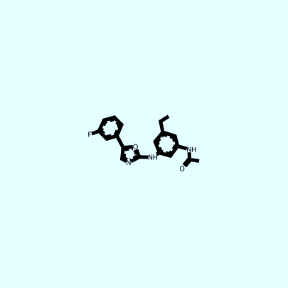 CCc1cc(NC(C)=O)cc(Nc2ncc(-c3cccc(F)c3)o2)c1